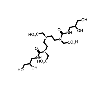 O=C(O)CN(CCN(CC(=O)O)C(=O)NCC(O)CO)CCN(CC(=O)O)C(=O)NCC(O)CO